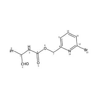 CC(C)C(C=O)NC(=O)OCc1cccc(Br)n1